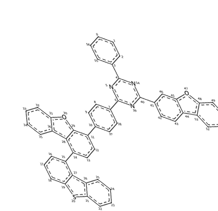 c1ccc(-c2nc(-c3ccc(-c4ccc(-c5cccc6sc7ccccc7c56)c5c4oc4ccccc45)cc3)nc(-c3ccc4c(c3)oc3ccccc34)n2)cc1